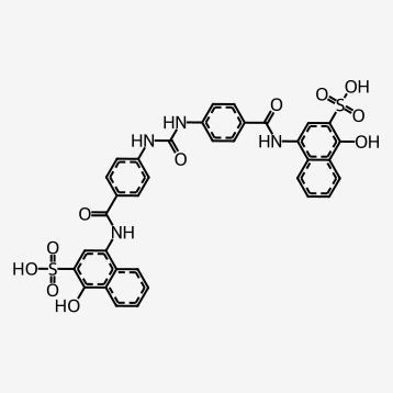 O=C(Nc1ccc(C(=O)Nc2cc(S(=O)(=O)O)c(O)c3ccccc23)cc1)Nc1ccc(C(=O)Nc2cc(S(=O)(=O)O)c(O)c3ccccc23)cc1